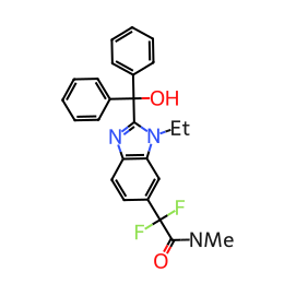 CCn1c(C(O)(c2ccccc2)c2ccccc2)nc2ccc(C(F)(F)C(=O)NC)cc21